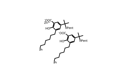 CCCCCC(C)(C)c1cc(CCCCCCC(C)C)c(O)c(C(=O)[O-])c1.CCCCCC(C)(C)c1cc(CCCCCCC(C)C)c(O)c(C(=O)[O-])c1.[Zn+2]